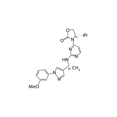 COc1cccc(-n2cc([C@@H](C)Nc3nccc(N4C(=O)OC[C@@H]4C(C)C)n3)cn2)c1